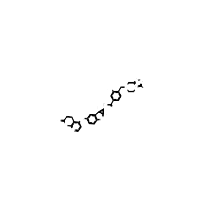 O=C1CCc2c(Oc3ccc4c(c3)[C@H]3[C@H](NC(=O)c5ccc(CN6CCn7c(nnc7C(F)(F)F)C6)c(C(F)(F)F)c5)[C@H]3O4)ccnc2N1